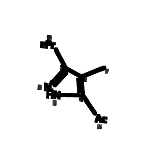 CCCc1n[nH]c(C(C)=O)c1C